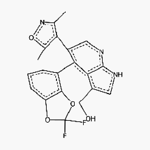 Cc1noc(C)c1-c1cnc2[nH]cc(CO)c2c1-c1cccc2c1OC(F)(F)O2